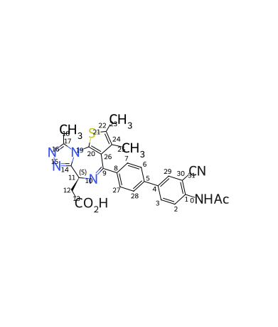 CC(=O)Nc1ccc(-c2ccc(C3=N[C@@H](CC(=O)O)c4nnc(C)n4-c4sc(C)c(C)c43)cc2)cc1C#N